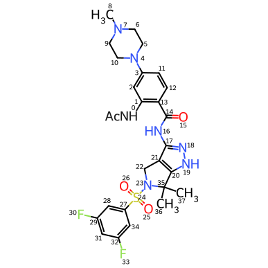 CC(=O)Nc1cc(N2CCN(C)CC2)ccc1C(=O)Nc1n[nH]c2c1CN(S(=O)(=O)c1cc(F)cc(F)c1)C2(C)C